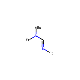 CCCCN(C=NCC)CC